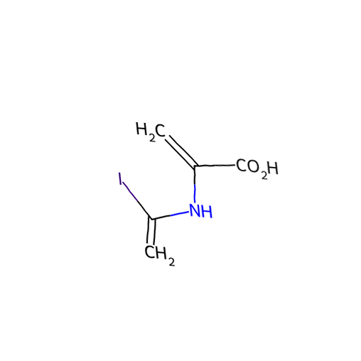 C=C(I)NC(=C)C(=O)O